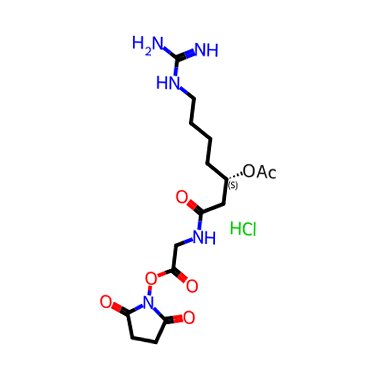 CC(=O)O[C@@H](CCCCNC(=N)N)CC(=O)NCC(=O)ON1C(=O)CCC1=O.Cl